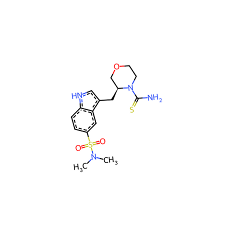 CN(C)S(=O)(=O)c1ccc2[nH]cc(C[C@H]3COCCN3C(N)=S)c2c1